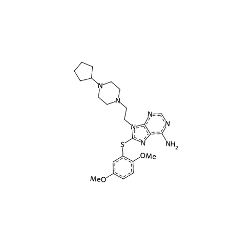 COc1ccc(OC)c(Sc2nc3c(N)ncnc3n2CCN2CCN(C3CCCC3)CC2)c1